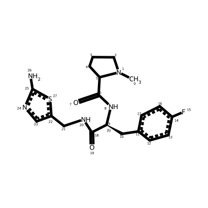 CN1CCCC1C(=O)N[C@@H](Cc1ccc(F)cc1)C(=O)NCc1cnc(N)s1